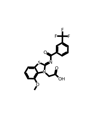 COc1cccc2s/c(=N\C(=O)c3cccc(C(F)(F)F)c3)n(CC(=O)O)c12